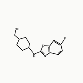 OCC1CCC(Nc2nc3ccc(F)cc3s2)CC1